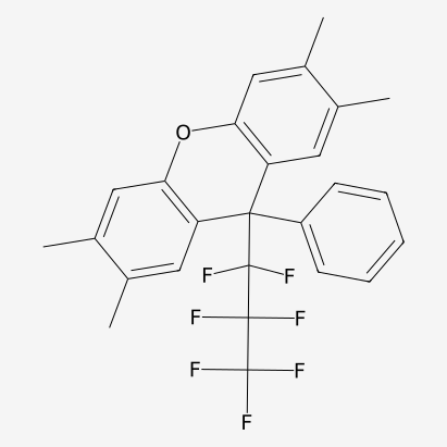 Cc1cc2c(cc1C)C(c1ccccc1)(C(F)(F)C(F)(F)C(F)(F)F)c1cc(C)c(C)cc1O2